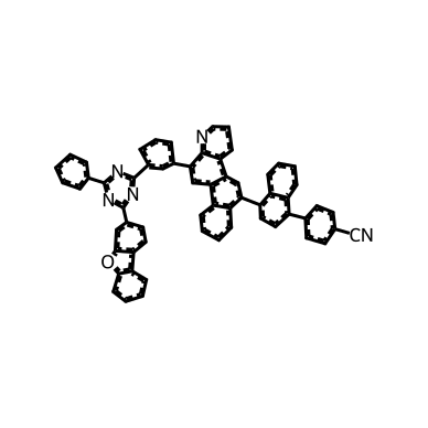 N#Cc1ccc(-c2ccc(-c3cc4c5cccnc5c(-c5cccc(-c6nc(-c7ccccc7)nc(-c7ccc8c(c7)oc7ccccc78)n6)c5)cc4c4ccccc34)c3ccccc23)cc1